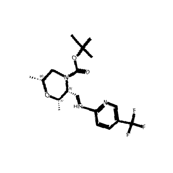 C[C@@H]1CN(C(=O)OC(C)(C)C)[C@H](CNc2ccc(C(F)(F)F)cn2)[C@H](C)O1